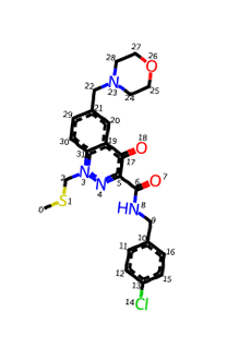 CSCn1nc(C(=O)NCc2ccc(Cl)cc2)c(=O)c2cc(CN3CCOCC3)ccc21